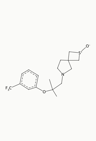 CC(C)(CN1CCC2(C1)C[S+]([O-])C2)Oc1cccc(C(F)(F)F)c1